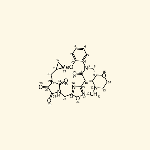 COc1ccccc1N(C[C@H]1CN(C)CCO1)C(=O)Cc1noc(CN2C(=O)C(=O)N(CC3CC3)C2=O)n1